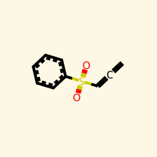 C=C=CS(=O)(=O)c1ccccc1